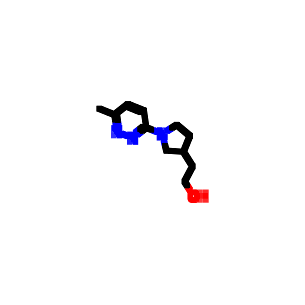 Cc1ccc(N2CCC(CCO)C2)nn1